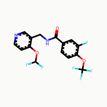 O=C(NCc1cnccc1OC(F)F)c1ccc(OC(F)(F)F)c(F)c1